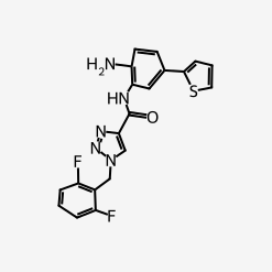 Nc1ccc(-c2cccs2)cc1NC(=O)c1cn(Cc2c(F)cccc2F)nn1